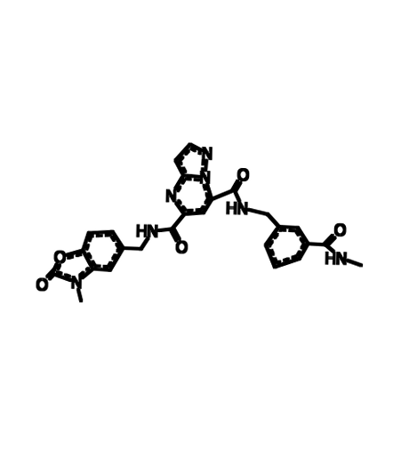 CNC(=O)c1cccc(CNC(=O)c2cc(C(=O)NCc3ccc4oc(=O)n(C)c4c3)nc3ccnn23)c1